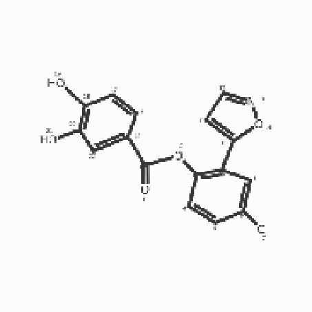 O=C(Oc1ccc(Cl)cc1-c1ccno1)c1ccc(O)c(O)c1